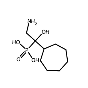 NCC(O)(C1CCCCCC1)P(=O)(O)O